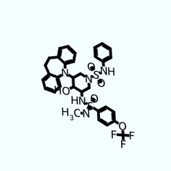 CN=S(=O)(NC1CN(S(=O)(=O)Nc2ccccc2)CC(N2c3ccccc3CCc3ccccc32)C1O)c1ccc(OC(F)(F)F)cc1